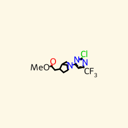 COC(=O)CC1CC2CC1CN2c1cc(C(F)(F)F)nc(Cl)n1